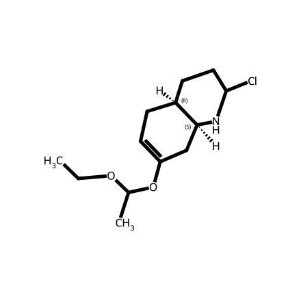 CCOC(C)OC1=CC[C@H]2CCC(Cl)N[C@H]2C1